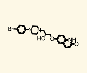 O=c1ccc2cc(OC[C@@H](O)CN3CCN(c4ccc(Br)cc4)CC3)ccc2[nH]1